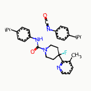 CC(C)c1ccc(N=C=O)cc1.Cc1cccnc1C1(F)CCN(C(=O)Nc2ccc(C(C)C)cc2)CC1